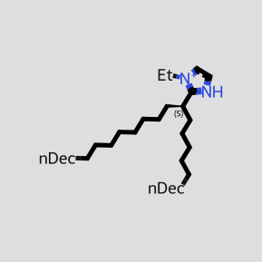 CCCCCCCCCCCCCCCCCC[C@H](CCCCCCCCCCCCCCC)c1[nH]cc[n+]1CC